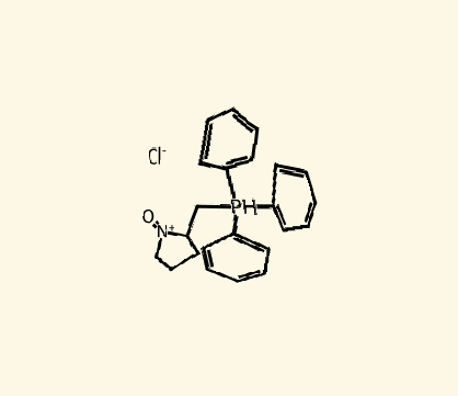 O=[N+]1CCCC1C[PH](c1ccccc1)(c1ccccc1)c1ccccc1.[Cl-]